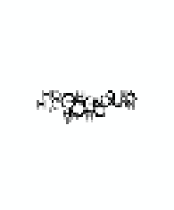 C[C@@]1(O)CC[C@@H]2[C@H]3CC[C@]4(C)[C@@H](C(=O)Cn5nccn5)CC[C@H]4[C@@H]3C[C@@H](F)[C@H]2C1